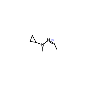 C/C=N\N(C)C1CC1